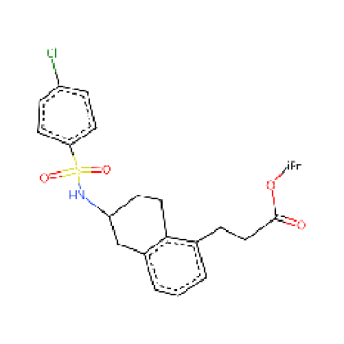 CC(C)OC(=O)CCc1cccc2c1CCC(NS(=O)(=O)c1ccc(Cl)cc1)C2